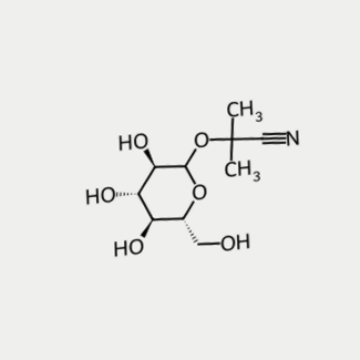 CC(C)(C#N)OC1O[C@H](CO)[C@@H](O)[C@H](O)[C@H]1O